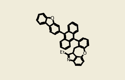 CCC1=Nc2cccc3c2C1Cc1c(cccc1-c1c2ccccc2c(-c2ccc4c(c2)oc2ccccc24)c2ccccc12)O3